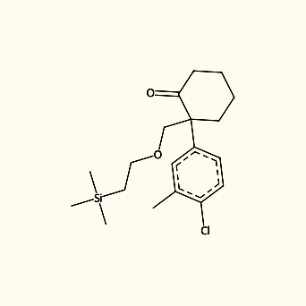 Cc1cc(C2(COCC[Si](C)(C)C)CCCCC2=O)ccc1Cl